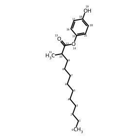 CCCCCCCCCCC(C)C(=O)Oc1ccc(O)cc1